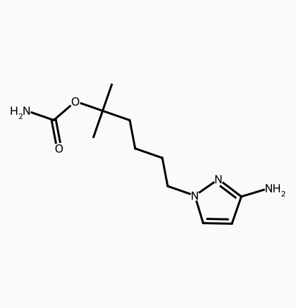 CC(C)(CCCCn1ccc(N)n1)OC(N)=O